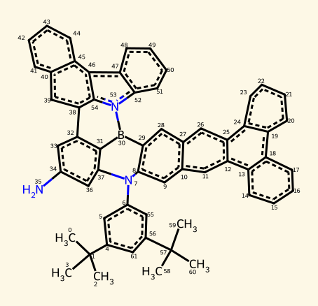 CC(C)(C)c1cc(N2c3cc4cc5c6ccccc6c6ccccc6c5cc4cc3B3c4c(cc(N)cc42)-c2cc4ccccc4c4c5ccccc5n3c24)cc(C(C)(C)C)c1